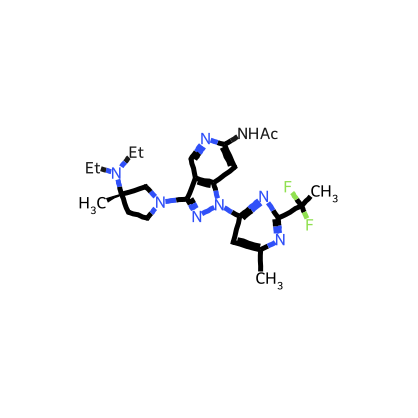 CCN(CC)[C@@]1(C)CCN(c2nn(-c3cc(C)nc(C(C)(F)F)n3)c3cc(NC(C)=O)ncc23)C1